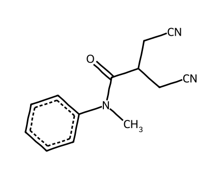 CN(C(=O)C(CC#N)CC#N)c1ccccc1